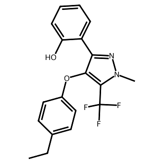 CCc1ccc(Oc2c(-c3ccccc3O)nn(C)c2C(F)(F)F)cc1